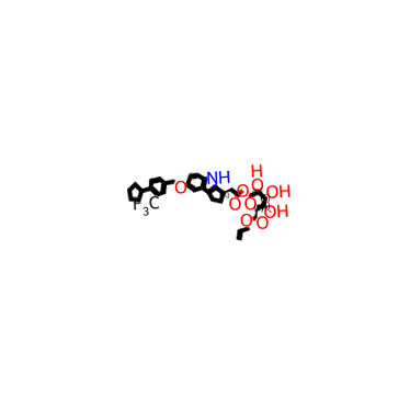 C=CCOC(=O)[C@H]1OC(OC(=O)C[C@H]2CCc3c2[nH]c2ccc(OCc4ccc(C5CCCC5)c(C(F)(F)F)c4)cc32)[C@H](O)[C@@H](O)[C@@H]1O